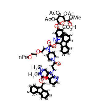 CCCOCCOCCN(C(=O)OC(Nc1ccc(C(=O)O)c(O[C@@H]2O[C@H](C(=O)OC)[C@@H](OC(C)=O)[C@H](OC(C)=O)[C@H]2OC(C)=O)c1)C1c2ccccc2-c2ccccc21)C1CCN(C(=O)CCn2c(CN(C)N(C)C(=O)OCC3c4ccccc4-c4ccccc43)cc3cccnc32)CC1